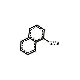 CSc1[c]ccc2ccccc12